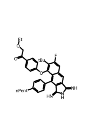 CCCCCc1ccc(-c2c3c(cc4cc(F)c(C(C)(C)C)c(Oc5ccc(C(=O)COCC)cc5)c24)C(=N)NC3=N)cc1